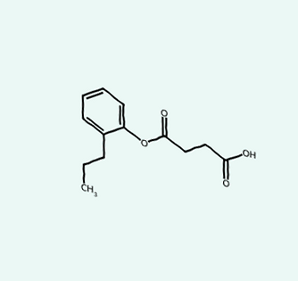 CCCc1ccccc1OC(=O)CCC(=O)O